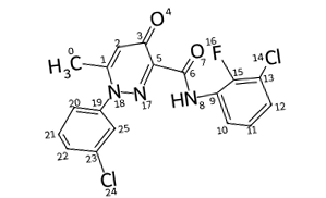 Cc1cc(=O)c(C(=O)Nc2cccc(Cl)c2F)nn1-c1cccc(Cl)c1